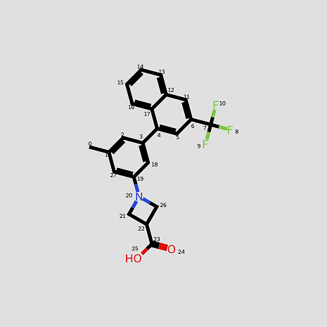 Cc1cc(-c2cc(C(F)(F)F)cc3ccccc23)cc(N2CC(C(=O)O)C2)c1